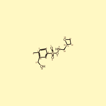 Cc1ccc(S(=O)(=O)ONC[C@@H]2CCO2)cc1CO